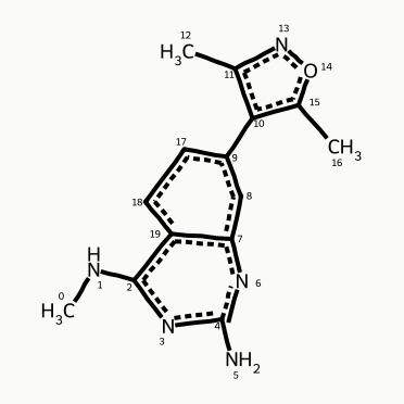 CNc1nc(N)nc2cc(-c3c(C)noc3C)ccc12